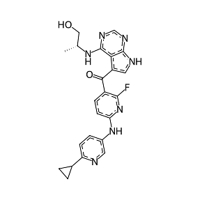 C[C@H](CO)Nc1ncnc2[nH]cc(C(=O)c3ccc(Nc4ccc(C5CC5)nc4)nc3F)c12